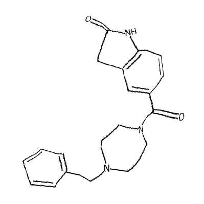 O=C1Cc2cc(C(=O)N3CCN(Cc4ccccc4)CC3)ccc2N1